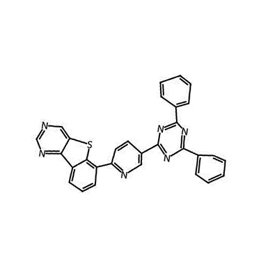 c1ccc(-c2nc(-c3ccccc3)nc(-c3ccc(-c4cccc5c4sc4cncnc45)nc3)n2)cc1